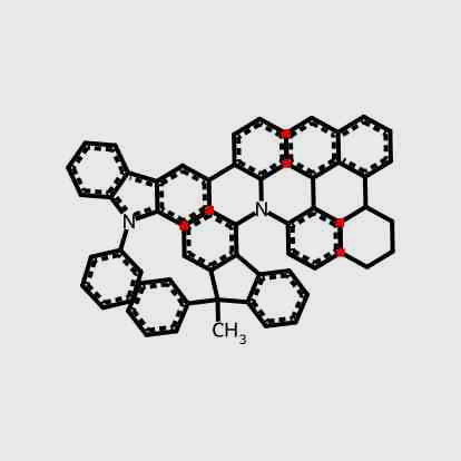 CC1(c2ccccc2)c2ccccc2-c2c(N(c3ccccc3-c3ccc4c(c3)c3ccccc3n4-c3ccccc3)c3ccccc3-c3cccc4cccc(C5CCCCC5)c34)cccc21